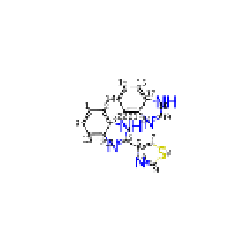 c1ccc2[nH]c(-c3cscn3)nc2c1.c1ccc2[nH]cnc2c1